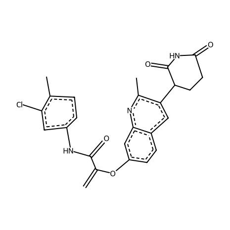 C=C(Oc1ccc2cc(C3CCC(=O)NC3=O)c(C)nc2c1)C(=O)Nc1ccc(C)c(Cl)c1